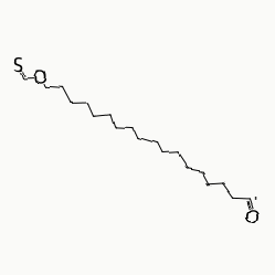 O=[C]CCCCCCCCCCCCCCCCCOC=S